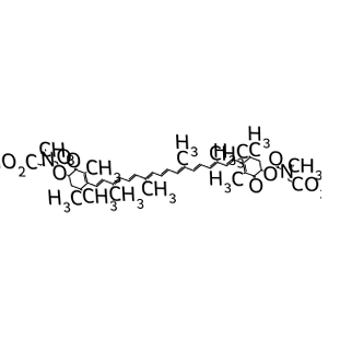 CC1=C(/C=C/C(C)=C/C=C/C(C)=C/C=C/C=C(C)/C=C/C=C(C)/C=C/C2=C(C)C(=O)C(OC(=O)N(C)CC(=O)O)CC2(C)C)C(C)(C)CC(OC(=O)N(C)CC(=O)O)C1=O